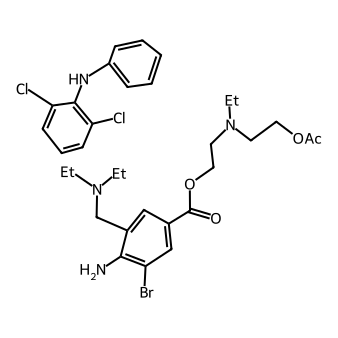 CCN(CCOC(C)=O)CCOC(=O)c1cc(Br)c(N)c(CN(CC)CC)c1.Clc1cccc(Cl)c1Nc1ccccc1